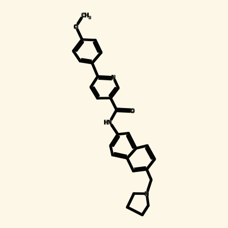 COc1ccc(-c2ccc(C(=O)Nc3ccc4cc(CN5CCCC5)ccc4c3)cn2)cc1